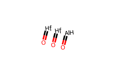 [O]=[AlH].[O]=[Hf].[O]=[Hf]